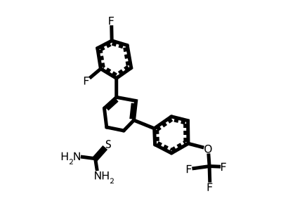 Fc1ccc(C2=CCCC(c3ccc(OC(F)(F)F)cc3)=C2)c(F)c1.NC(N)=S